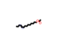 CC/C=C\C=C/CCCCCCCCOC(C)=O